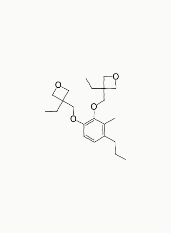 CCCc1ccc(OCC2(CC)COC2)c(OCC2(CC)COC2)c1C